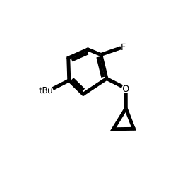 CC(C)(C)c1ccc(F)c(OC2CC2)c1